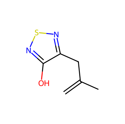 C=C(C)Cc1nsnc1O